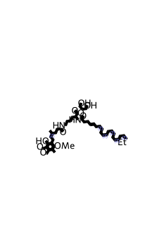 CC/C=C\C/C=C\C/C=C\C/C=C\C/C=C\CC=CCCC(=O)NC(CCCCNC(=O)CC/C(C)=C\Cc1c(O)c2c(c(C)c1OC)COC2=O)C(=O)OC(CO)CO